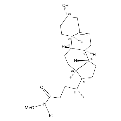 CCN(OC)C(=O)CC[C@@H](C)[C@H]1CC[C@H]2[C@@H]3CC=C4C[C@@H](O)CC[C@]4(C)[C@H]3CC[C@]12C